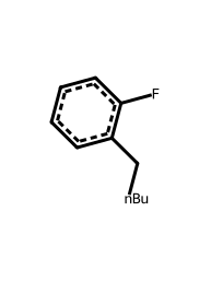 CC[CH]CCc1ccccc1F